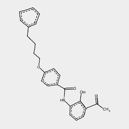 CC(=O)c1cccc(NC(=O)c2ccc(OCCCCc3ccccc3)cc2)c1O